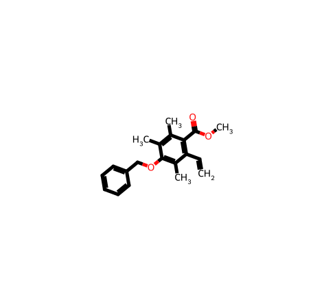 C=Cc1c(C)c(OCc2ccccc2)c(C)c(C)c1C(=O)OC